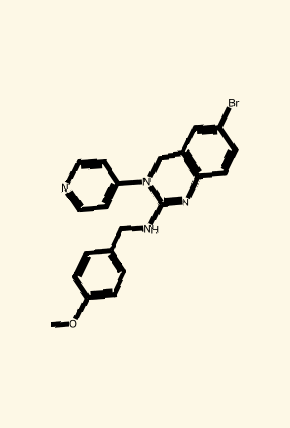 COc1ccc(CNC2=Nc3ccc(Br)cc3CN2c2ccncc2)cc1